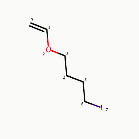 C=COCCCCI